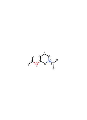 CC(C)OC1CCCN(C(C)C)C1